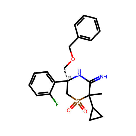 CC1(C2CC2)C(=N)N[C@](COCc2ccccc2)(c2ccccc2F)CS1(=O)=O